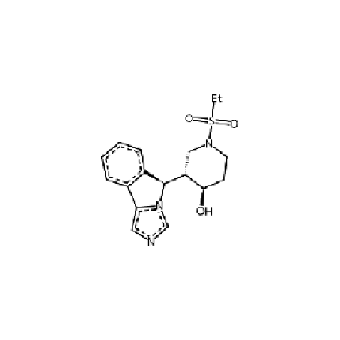 CCS(=O)(=O)N1CC[C@@H](O)[C@H]([C@@H]2c3ccccc3-c3cncn32)C1